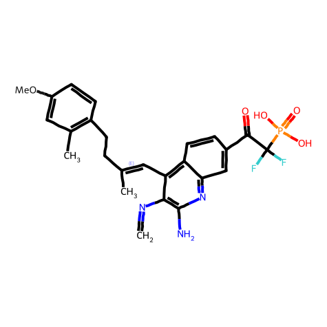 C=Nc1c(N)nc2cc(C(=O)C(F)(F)P(=O)(O)O)ccc2c1/C=C(\C)CCc1ccc(OC)cc1C